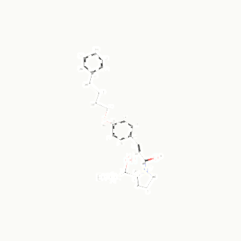 CCOC(=O)C(O)[C@@H]1CCCN1C(=O)C=Cc1ccc(OCCCCc2ccccc2)cc1